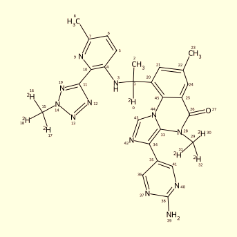 [2H]C(C)(Nc1ccc(C)nc1-c1nnn(C([2H])([2H])[2H])n1)c1cc(C)cc2c(=O)n(C([2H])([2H])[2H])c3c(-c4cnc(N)nc4)ncn3c12